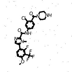 COc1ccc(-c2cnc(C(=O)Nc3ccc(C(=O)N4CCNCC4)c(Cl)c3)n2C)c(F)c1C(F)(F)F